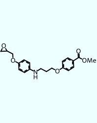 COC(=O)c1ccc(OCCCNc2ccc(OCC3CO3)cc2)cc1